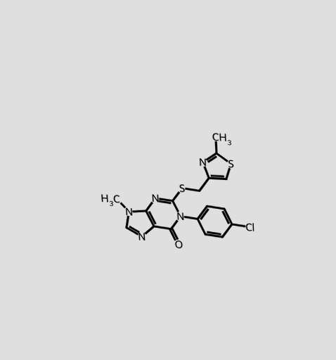 Cc1nc(CSc2nc3c(ncn3C)c(=O)n2-c2ccc(Cl)cc2)cs1